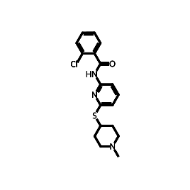 CN1CCC(Sc2cccc(NC(=O)c3ccccc3Cl)n2)CC1